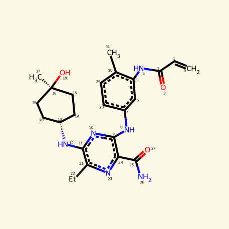 C=CC(=O)Nc1cc(Nc2nc(N[C@H]3CC[C@](C)(O)CC3)c(CC)nc2C(N)=O)ccc1C